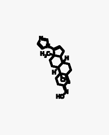 C[C@]12CC/C(=N\O)C=C1CC[C@H]1C3CC=C(n4ccnc4)[C@@]3(C)CC[C@@H]12